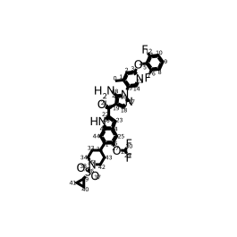 Cc1cc(Oc2c(F)cccc2F)ncc1-n1ncc(C(=O)c2cc3cc(OC(F)F)c(C4CCN(S(=O)(=O)C5CC5)CC4)cc3[nH]2)c1N